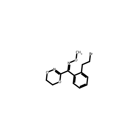 CON=C(C1=NOCCO1)c1ccccc1CCBr